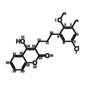 COc1c(C)cc(Cl)cc1CCCc1c(O)c2ccccc2oc1=O